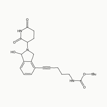 CC(C)(C)OC(=O)NCCCC#Cc1cccc2c1CN(C1CCC(=O)NC1=O)C2O